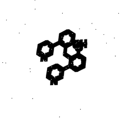 COc1cccc(-c2cccnc2)c1Cc1c(O)cccc1-c1cccnc1